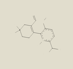 COc1ccc(C(C)C)[n+]([O-])c1C1=C(C=O)CC(C)(C)CC1